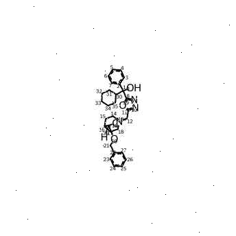 OC(c1ccccc1)(c1nnc(C[N+]23CCC(CC2)[C@@H](OCc2ccccc2)C3)o1)C1CCCCC1